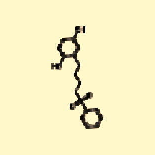 O=S(=O)(CCCCc1cc(O)ccc1O)c1ccccc1